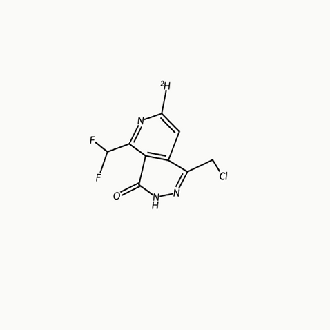 [2H]c1cc2c(CCl)n[nH]c(=O)c2c(C(F)F)n1